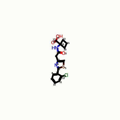 O=C(Cc1csc(-c2ccccc2Cl)n1)NC1(C(=O)O)CCC1